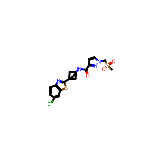 CS(=O)(=O)Cn1ccc(C(=O)NC23CC(c4nc5ccc(Cl)cc5s4)(C2)C3)n1